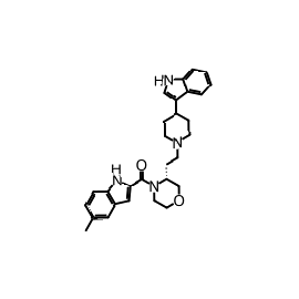 Cc1ccc2[nH]c(C(=O)N3CCOC[C@H]3CCN3CCC(c4c[nH]c5ccccc45)CC3)cc2c1